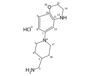 Cl.NCC1CCN(c2ccc3c(c2)NCCO3)CC1